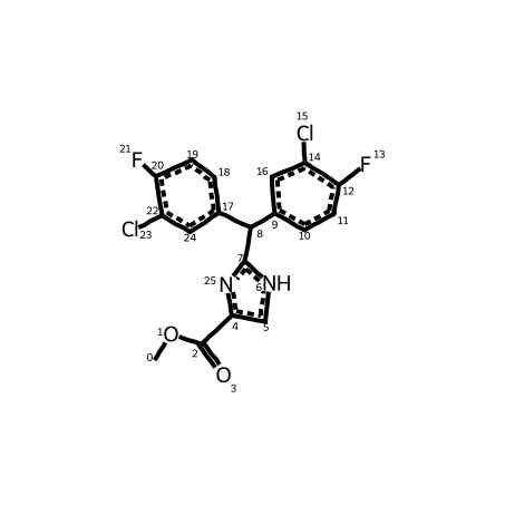 COC(=O)c1c[nH]c(C(c2ccc(F)c(Cl)c2)c2ccc(F)c(Cl)c2)n1